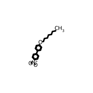 CCCCCCCCOc1ccc(-c2ccc([N+](=O)[O-])cc2)cc1